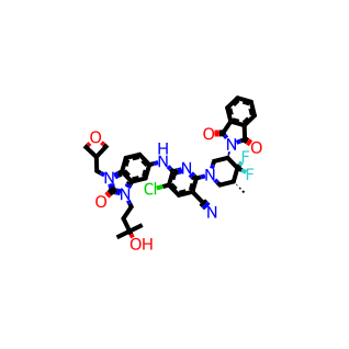 C[C@@H]1CN(c2nc(Nc3ccc4c(c3)n(CCC(C)(C)O)c(=O)n4CC3COC3)c(Cl)cc2C#N)C[C@H](N2C(=O)c3ccccc3C2=O)C1(F)F